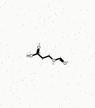 O=[C]OCCC(=O)O